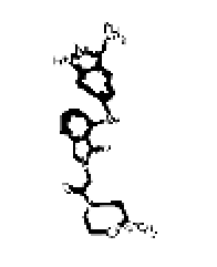 Cc1n[nH]c2cc(Nc3cccc4c3C(=O)N(CC(=O)N3CCO[C@@H](C)C3)C4)ccc12